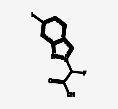 O=C(O)C(F)n1cc2ccc(I)cc2n1